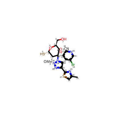 CO[C@@H]1[C@H](S)O[C@@H](CO)[C@@H](O)[C@@]1(c1cc(Br)cnc1C#N)n1cc(-c2nc(C)cs2)nn1